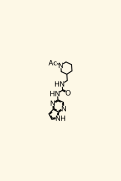 CC(=O)N1CCCC(CNC(=O)Nc2cnc3[nH]ccc3n2)C1